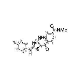 CNC(=O)c1ccc(C(=O)c2sc(Nc3ccc(F)cc3)nc2N)cc1